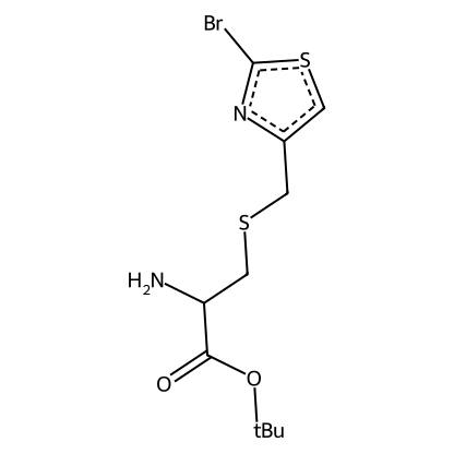 CC(C)(C)OC(=O)C(N)CSCc1csc(Br)n1